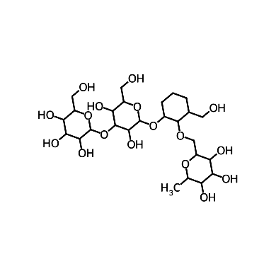 CC1OC(COC2C(CO)CCCC2OC2OC(CO)C(O)C(OC3OC(CO)C(O)C(O)C3O)C2O)C(O)C(O)C1O